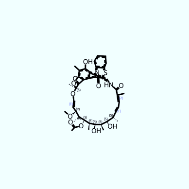 CO[C@H]1/C=C/O[C@@]2(C)Oc3c(C)c(O)c4c(=O)c(c5sc6ccccc6nc-5c4c3C2=O)NC(=O)/C(C)=C\C=C\[C@H](C)[C@H](O)[C@@H](C)[C@@H](O)[C@@H](C)[C@H](OC(C)=O)[C@@H]1C